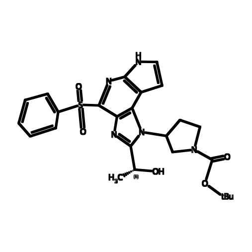 C[C@@H](O)c1nc2c(S(=O)(=O)c3ccccc3)nc3[nH]ccc3c2n1C1CCN(C(=O)OC(C)(C)C)C1